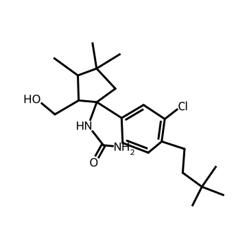 CC1C(CO)C(NC(N)=O)(c2ccc(CCC(C)(C)C)c(Cl)c2)CC1(C)C